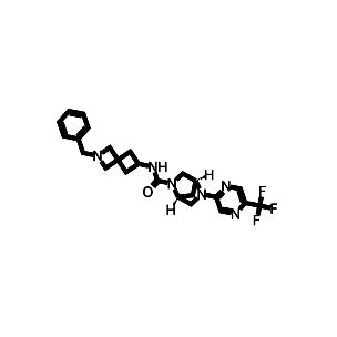 O=C(NC1CC2(C1)CN(Cc1ccccc1)C2)N1C[C@@H]2C[C@H]1CN2c1cnc(C(F)(F)F)cn1